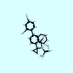 O=C(O)N([C@@H]1CN2CCC1CC2)C1(c2ccc(-c3ccc(F)cc3F)cc2)CC1